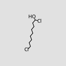 OC(Cl)CCCCCCCCCl